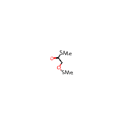 CSOCC(=O)SC